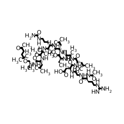 CC[C@H](NC(=O)[C@H](C)NC(=O)[C@H](CC(C)C)NC(=O)[C@H](CC(=O)O)NC(=O)CNC(=O)[C@H](CCCNC(=N)N)NC(C)=O)C(=O)N[C@@H](CC(C)C)C(=O)N[C@@H](CCCNC(N)=O)C(=O)NC(C)(C)C(=O)N[C@@H](CC(C)C)C(=O)NN(C)COC(C)(C)CCC(C)=O